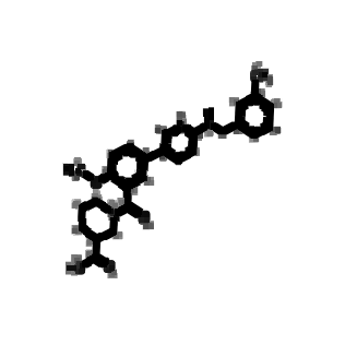 COc1ccc(-c2ccc(NCc3cccc(C)c3)nc2)cc1C(=O)N1CCCC(C(=O)O)C1